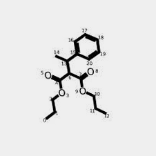 CCCOC(=O)C(C(=O)OCCC)C(C)c1ccccc1